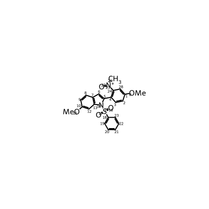 COc1ccc(-c2cc3ccc(OC)cc3n2S(=O)(=O)c2ccccc2)c([N+](C)=O)c1